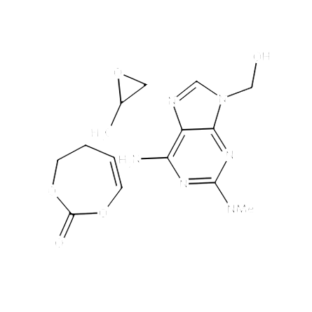 CC1CO1.CNc1nc(N)c2ncn(CO)c2n1.O=C1OC=CCCO1